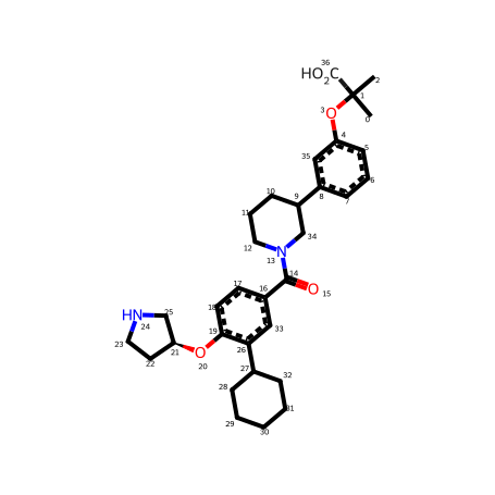 CC(C)(Oc1cccc(C2CCCN(C(=O)c3ccc(O[C@H]4CCNC4)c(C4CCCCC4)c3)C2)c1)C(=O)O